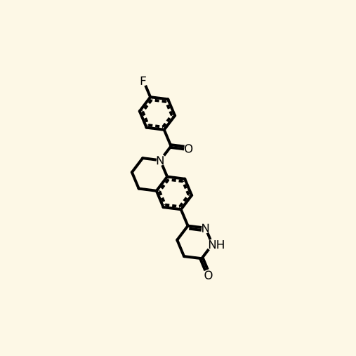 O=C1CCC(c2ccc3c(c2)CCCN3C(=O)c2ccc(F)cc2)=NN1